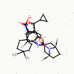 CC1(C)CCC(c2noc(C3CC3)c2COC2C[C@H]3CC[C@@H](C2)N3c2nc3c(F)cc(C(=O)O)cc3s2)CC1